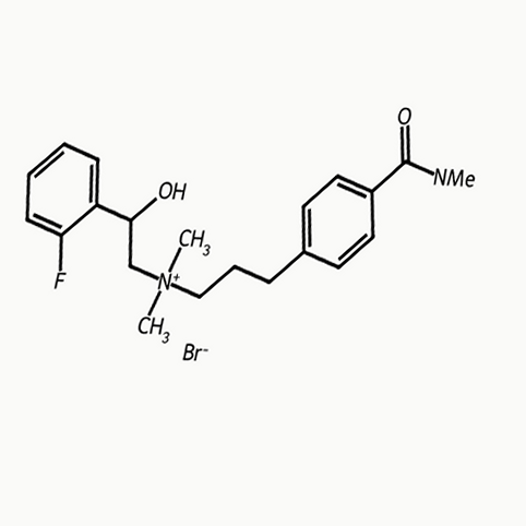 CNC(=O)c1ccc(CCC[N+](C)(C)CC(O)c2ccccc2F)cc1.[Br-]